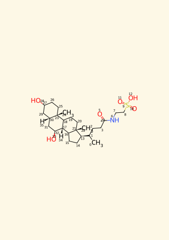 CC(CCC(=O)NCCS(=O)(=O)O)[C@H]1CCC2[C@H]3C(CC[C@@]21C)[C@@]1(C)CCC(O)C[C@H]1C[C@@H]3O